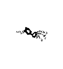 NC1(N)C=CC(c2cccc(S(=O)(=O)O)c2)=CC1S(=O)(=O)O